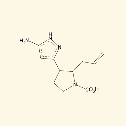 C=CCC1C(c2cc(N)[nH]n2)CCN1C(=O)O